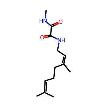 CNC(=O)C(=O)NC/C=C(/C)CCC=C(C)C